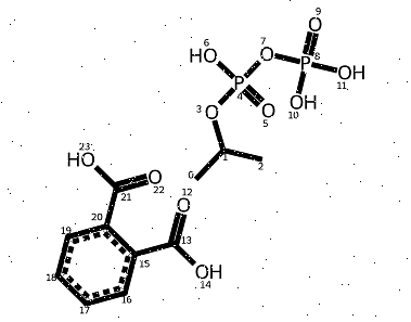 CC(C)OP(=O)(O)OP(=O)(O)O.O=C(O)c1ccccc1C(=O)O